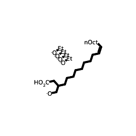 CCCCCCCC/C=C\CCCCCCCCC(C[O])CC(=O)O.[CH2]C[O].[CH2]C[O].[CH2]C[O].[CH2]C[O]